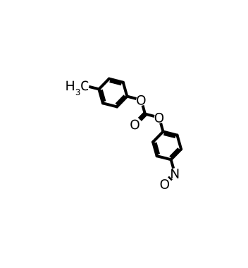 Cc1ccc(OC(=O)Oc2ccc(N=O)cc2)cc1